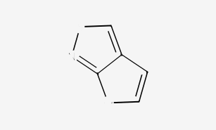 c1cc2csnc2o1